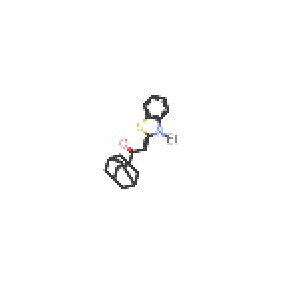 CCN1/C(=C/C(=O)C23CC4CC(CC(C4)C2)C3)Sc2ccccc21